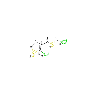 ClCSCc1ccsc1Cl